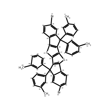 Cc1cccc(C2(c3cccc(C)c3)c3cc(Br)ccc3-c3sc4c5c(sc4c32)-c2ccc(Br)cc2C5(c2cccc(C)c2)c2cccc(C)c2)c1